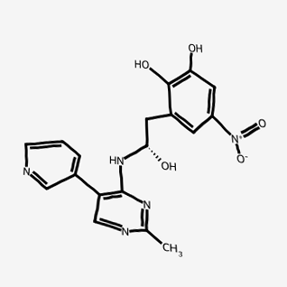 Cc1ncc(-c2cccnc2)c(N[C@@H](O)Cc2cc([N+](=O)[O-])cc(O)c2O)n1